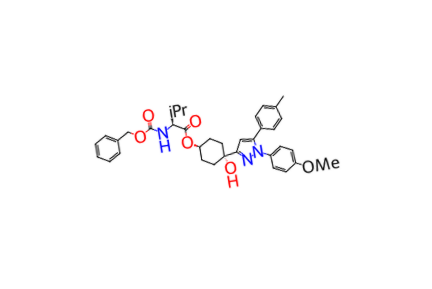 COc1ccc(-n2nc([C@]3(O)CC[C@H](OC(=O)[C@@H](NC(=O)OCc4ccccc4)C(C)C)CC3)cc2-c2ccc(C)cc2)cc1